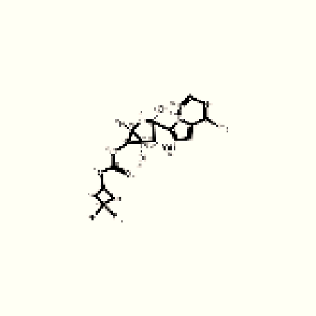 C[C@@]1(c2ccc3c(N)ncnn23)O[C@@H]2C(OC(=O)OC3CC(F)(F)C3)[C@]2(O)[C@H]1O